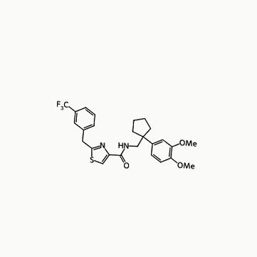 COc1ccc(C2(CNC(=O)c3csc(Cc4cccc(C(F)(F)F)c4)n3)CCCC2)cc1OC